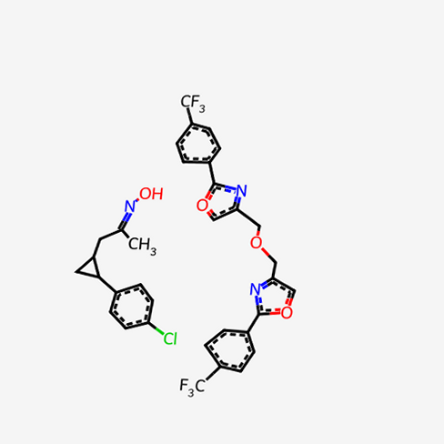 C/C(CC1CC1c1ccc(Cl)cc1)=N\O.FC(F)(F)c1ccc(-c2nc(COCc3coc(-c4ccc(C(F)(F)F)cc4)n3)co2)cc1